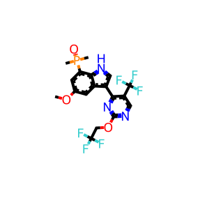 COc1cc(P(C)(C)=O)c2[nH]cc(-c3nc(OCC(F)(F)F)ncc3C(F)(F)F)c2c1